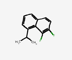 CC(C)c1cccc2ccc(F)c(F)c12